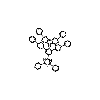 C1=CC(c2cc(-c3nc(-c4ccccc4)nc(-c4ccccc4)n3)cc(-c3ccc(-c4ccccc4)cc3)c2-n2c3ccc(-c4ccccc4)cc3c3cc(-c4ccccc4)ccc32)CC=C1c1ccccc1